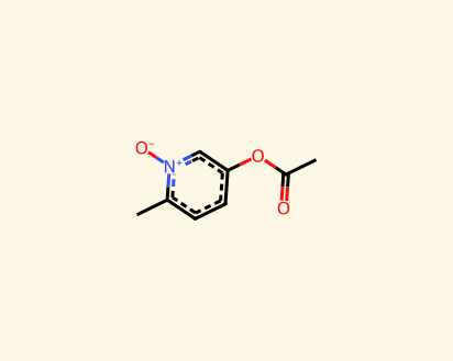 CC(=O)Oc1ccc(C)[n+]([O-])c1